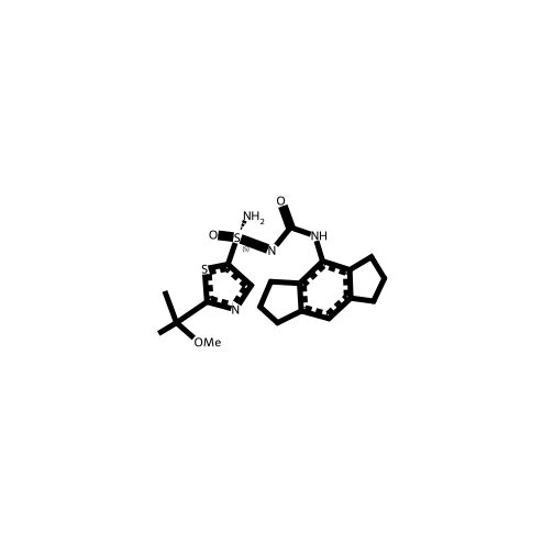 COC(C)(C)c1ncc([S@@](N)(=O)=NC(=O)Nc2c3c(cc4c2CCC4)CCC3)s1